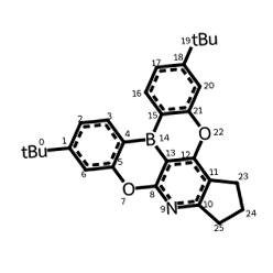 CC(C)(C)c1ccc2c(c1)Oc1nc3c(c4c1B2c1ccc(C(C)(C)C)cc1O4)CCC3